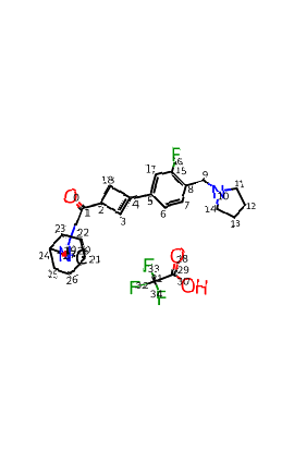 O=C(C1C=C(c2ccc(CN3CCCC3)c(F)c2)C1)N1CC2CCC(CC2)C1.O=C(O)C(F)(F)F